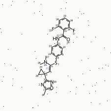 Cc1nc(C2(/C=C(/Sc3ccc(NC(=O)c4c(F)cccc4F)cc3)N(C)C)CC2)no1